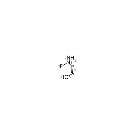 NN(F)/C=C\O